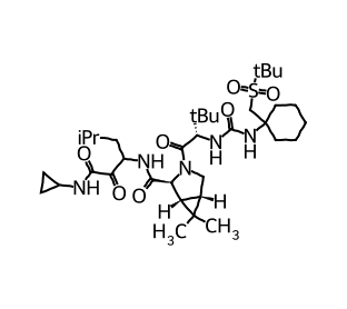 CC(C)CC(NC(=O)[C@@H]1[C@@H]2[C@H](CN1C(=O)[C@@H](NC(=O)NC1(CS(=O)(=O)C(C)(C)C)CCCCC1)C(C)(C)C)C2(C)C)C(=O)C(=O)NC1CC1